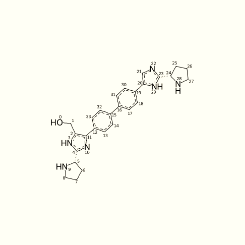 OCc1[nH]c([C@@H]2CCCN2)nc1-c1ccc(-c2ccc(-c3cnc([C@@H]4CCCN4)[nH]3)cc2)cc1